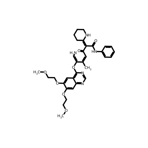 COCCOc1cc2ncnc(OC(=C/N)/C(C)=C\C(=O)/C(C(=O)Nc3ccccc3)=C3\CCCCN3)c2cc1OCCOC